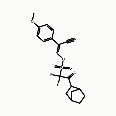 COc1ccc(C(C#N)=NOS(=O)(=O)C(F)(F)C(=O)C2CC3CCC2C3)cc1